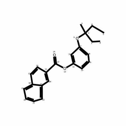 CCC(C)(CC)Oc1cccc(OC(=O)c2ccc3ccccc3c2)c1